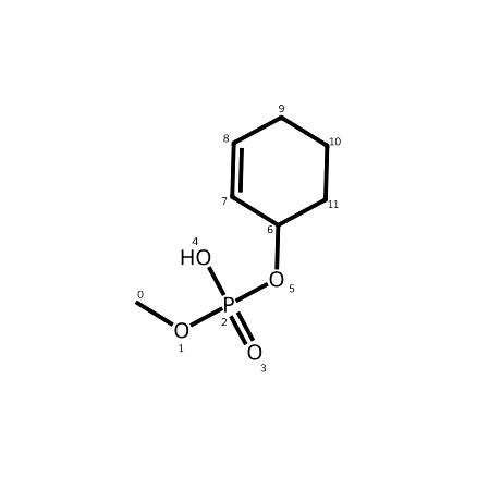 COP(=O)(O)OC1C=CCCC1